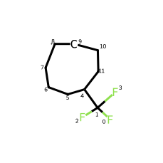 FC(F)(F)C1CCC[CH]CCC1